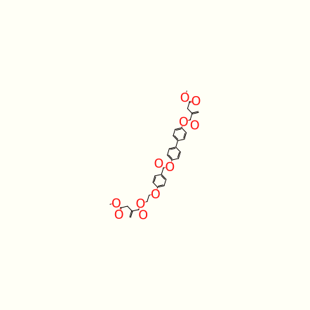 C=C(CC(=O)OC)C(=O)OCCOc1ccc(C(=O)Oc2ccc(-c3ccc(OC(=O)C(=C)CC(=O)OC)cc3)cc2)cc1